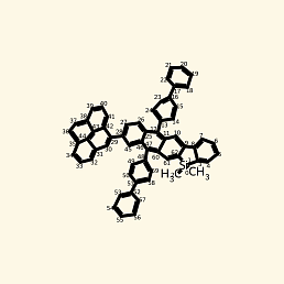 C[Si]1(C)c2ccccc2-c2cc3c(-c4ccc(-c5ccccc5)cc4)c4ccc(-c5cc6cccc7ccc8cccc5c8c76)cc4c(-c4ccc(-c5ccccc5)cc4)c3cc21